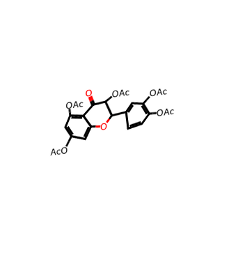 CC(=O)Oc1cc(OC(C)=O)c2c(c1)OC(c1ccc(OC(C)=O)c(OC(C)=O)c1)C(OC(C)=O)C2=O